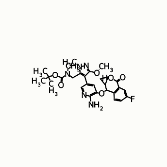 COc1nn(C)c(CN(C)C(=O)OC(C)(C)C)c1-c1cnc(N)c(OC(c2ccc(F)cc2C(=O)O)C2CC2)c1